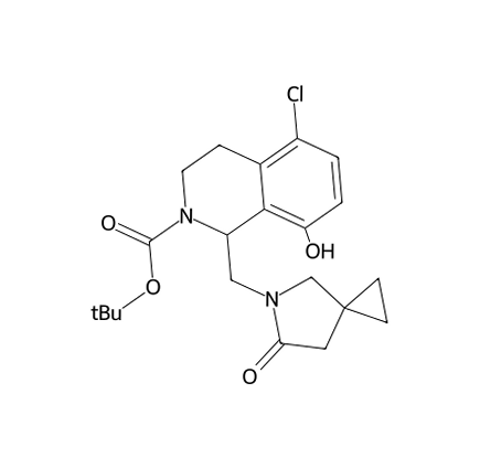 CC(C)(C)OC(=O)N1CCc2c(Cl)ccc(O)c2C1CN1CC2(CC2)CC1=O